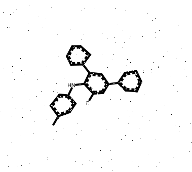 Cc1ccc(Nc2c(F)cc(-c3ccccc3)cc2-c2ccccc2)cc1